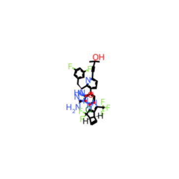 CC(C)(O)C#Cc1ccc(-c2ccc(Cl)n3c(N)nnc23)c([C@H](Cc2cc(F)cc(F)c2)NC(=O)Cn2nc(C(F)(F)F)c3c2C(F)(F)[C@@H]2C#C[C@H]32)n1